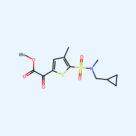 Cc1cc(C(=O)C(=O)OC(C)(C)C)sc1S(=O)(=O)N(C)CC1CC1